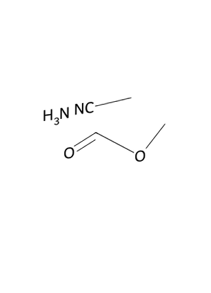 CC#N.COC=O.N